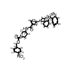 CC(C)(C)[Si](OC1CN(c2nc(C(=O)N[C@H]3CCN(C(=O)OCc4ccc([N+](=O)[O-])cc4)C3)co2)C1)(c1ccccc1)c1ccccc1